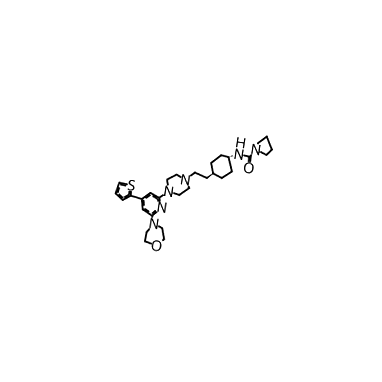 O=C(N[C@H]1CC[C@H](CCN2CCN(c3cc(-c4cccs4)cc(N4CCOCC4)n3)CC2)CC1)N1CCCC1